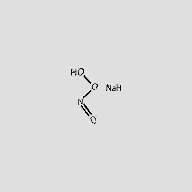 O=NOO.[NaH]